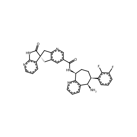 N[C@H]1c2cccnc2[C@@H](NC(=O)c2cnc3c(c2)C[C@@]2(C3)C(=O)Nc3ncccc32)CC[C@H]1c1cccc(F)c1F